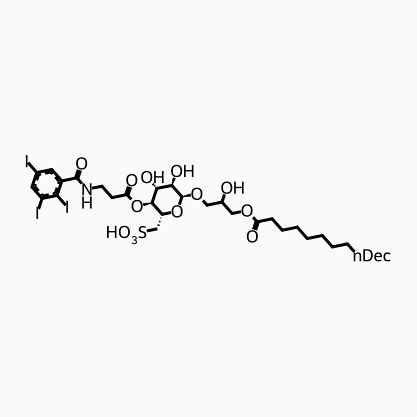 CCCCCCCCCCCCCCCCCC(=O)OCC(O)CO[C@H]1O[C@H](CS(=O)(=O)O)[C@@H](OC(=O)CCNC(=O)c2cc(I)cc(I)c2I)[C@H](O)[C@H]1O